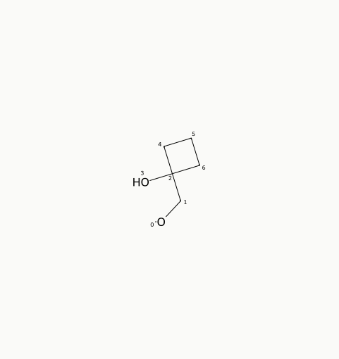 [O]CC1(O)CCC1